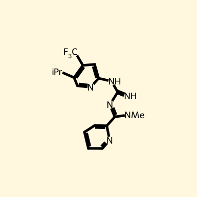 CN/C(=N\C(=N)Nc1cc(C(F)(F)F)c(C(C)C)cn1)c1ccccn1